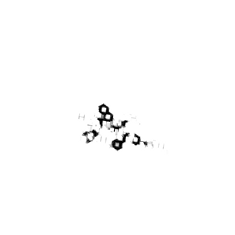 CCCC[C@H](NC(Cc1ccccc1)C(=O)N1CCC(OCOC)CC1)C(=O)NC(CC1CCCCC1)C(O)CC(C(=O)NCC(C)(C)N1CCOCC1)C(C)C